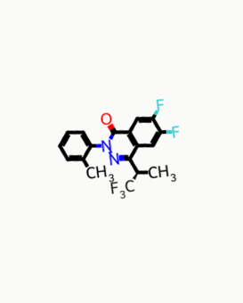 Cc1ccccc1-n1nc([C@@H](C)C(F)(F)F)c2cc(F)c(F)cc2c1=O